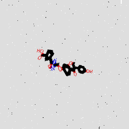 O=C(O)c1cccc(-c2nc(COc3ccc4c(=O)c(-c5ccc(O)cc5)coc4c3)no2)c1